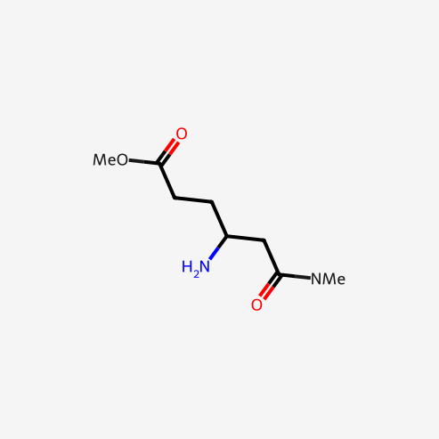 CNC(=O)CC(N)CCC(=O)OC